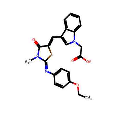 CCOc1ccc(/N=C2\S/C(=C\c3cn(CC(=O)O)c4ccccc34)C(=O)N2C)cc1